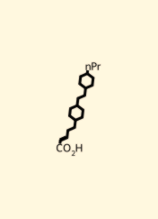 CCCC1CCC(CCC2CCC(CC/C=C/C(=O)O)CC2)CC1